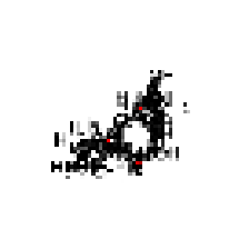 CCCC[C@@H](C(=O)N(C)[C@@H](CCCC)C(=O)N[C@@H](CC(C)C)C(=O)N[C@@H](CSCC(N)CC)C(=O)NCC(N)=O)N(C)C(=O)[C@@H]1Cc2cn(c3ccccc23)CC(=O)OCc2ccc(Cl)c(F)c2CNC[C@H](NC(=O)C2CCCN2C(=O)[C@H](CC(N)=O)NC(=O)[C@H](C)N(C)C(=O)CCc2ccc(O)cc2)C(=O)NCC(=O)N2C[C@H](O)CC2C(=O)N[C@@H](Cc2c[nH]c3ccccc23)C(=O)NCC(=O)N1